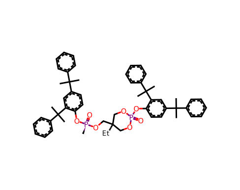 CCC1(CO[P@@](C)(=O)Oc2ccc(C(C)(C)c3ccccc3)cc2C(C)(C)c2ccccc2)COP(=O)(Oc2ccc(C(C)(C)c3ccccc3)cc2C(C)(C)c2ccccc2)OC1